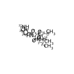 CCCCNC(=O)C(CS(=O)(=O)C(CCC)CCC)NC(=O)c1ccc2cc[nH]c2c1